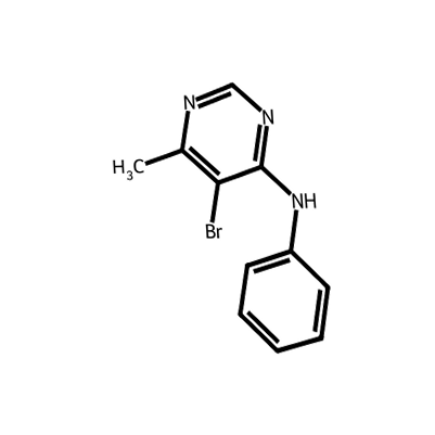 Cc1ncnc(Nc2ccccc2)c1Br